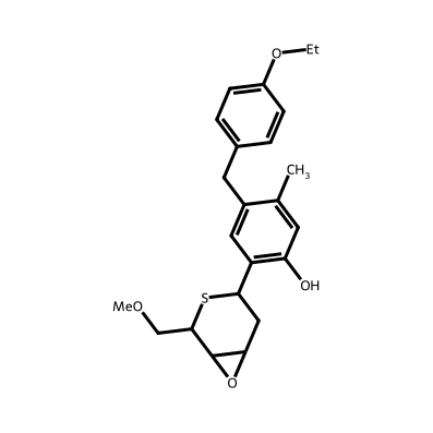 CCOc1ccc(Cc2cc(C3CC4OC4C(COC)S3)c(O)cc2C)cc1